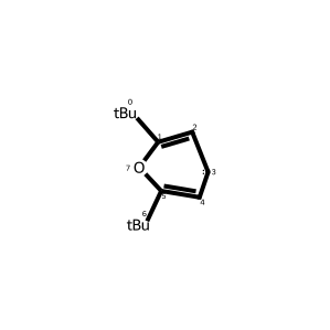 CC(C)(C)C1=C[C]C=C(C(C)(C)C)O1